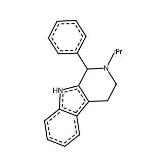 CC(C)N1CCc2c([nH]c3ccccc23)C1c1ccccc1